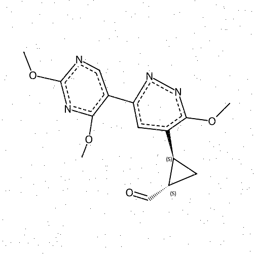 COc1ncc(-c2cc([C@H]3C[C@@H]3C=O)c(OC)nn2)c(OC)n1